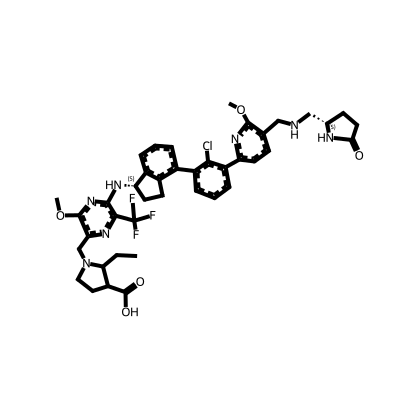 CCC1C(C(=O)O)CCN1Cc1nc(C(F)(F)F)c(N[C@H]2CCc3c(-c4cccc(-c5ccc(CNC[C@@H]6CCC(=O)N6)c(OC)n5)c4Cl)cccc32)nc1OC